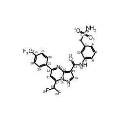 NS(=O)(=O)Cc1cccc(NC(=O)c2cnn3c(C(F)F)cc(-c4ccc(C(F)(F)F)cc4)nc23)c1